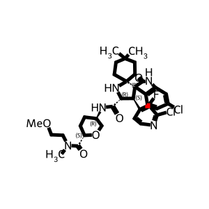 COCCN(C)C(=O)[C@@H]1CC[C@@H](NC(=O)[C@@H]2NC3(CCC(C)(C)CC3)[C@@]3(C(=O)Nc4cc(Cl)ccc43)[C@H]2c2ccnc(Cl)c2F)CO1